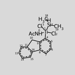 CC(=O)[NH][Ti]([Cl])([Cl])([c]1cccc2c1Cc1ccccc1-2)[SiH](C)C